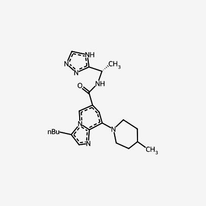 CCCCc1cnc2c(N3CCC(C)CC3)cc(C(=O)N[C@@H](C)c3nnc[nH]3)cn12